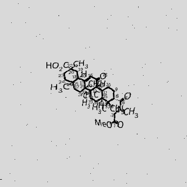 COC(=O)CN(C)C(=O)[C@H]1CC[C@]2(C)[C@H]3C(=O)C=C4[C@@H]5C[C@@](C)(C(=O)O)CC[C@]5(C)CC[C@@]4(C)[C@]3(C)CC[C@H]2C1(C)C